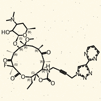 CC[C@H]1OC(=O)[C@@](C)(F)C(=O)[C@H](C)[C@@H](O[C@@H]2O[C@H](C)CC(N(C)C)C2O)[C@](C)(OC)C[C@@H](C)C(=O)[C@H](C)[C@H]2N(CC#CCn3cc(-c4ncccn4)nn3)C(=O)O[C@]12C